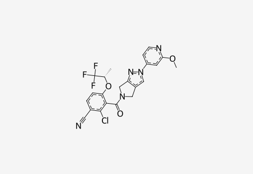 COc1cc(-n2cc3c(n2)CN(C(=O)c2c(O[C@@H](C)C(F)(F)F)ccc(C#N)c2Cl)C3)ccn1